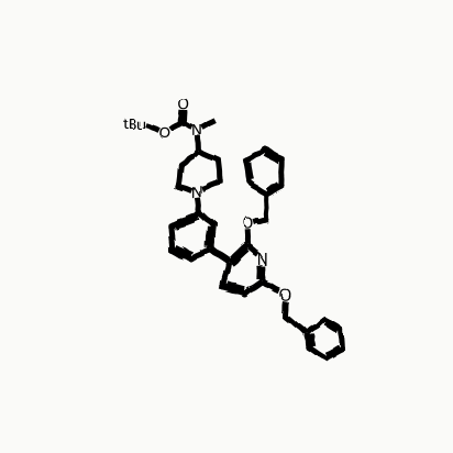 CN(C(=O)OC(C)(C)C)C1CCN(c2cccc(-c3ccc(OCc4ccccc4)nc3OCc3ccccc3)c2)CC1